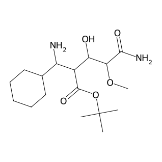 COC(C(N)=O)C(O)C(C(=O)OC(C)(C)C)C(N)C1CCCCC1